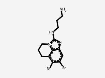 NCCCNc1nc2cc(Br)c(Br)c3c2n1CCC3